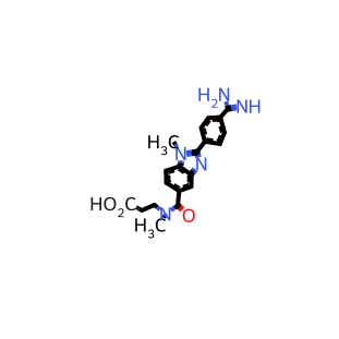 CN(CCC(=O)O)C(=O)c1ccc2c(c1)nc(-c1ccc(C(=N)N)cc1)n2C